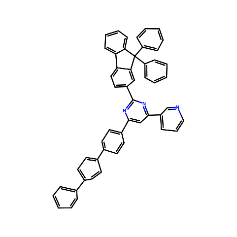 c1ccc(-c2ccc(-c3ccc(-c4cc(-c5cccnc5)nc(-c5ccc6c(c5)C(c5ccccc5)(c5ccccc5)c5ccccc5-6)n4)cc3)cc2)cc1